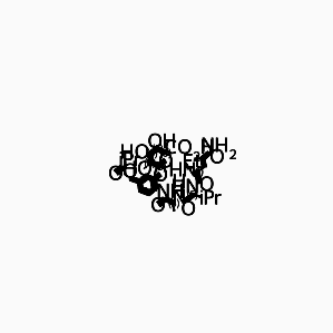 CCN[C@@H](CCC(N)=O)C(=O)N[C@H](C(=O)N[C@@H](C)C(=O)Nc1ccc(COC(=O)C(C)C)cc1O[C@@H]1O[C@H](C(=O)O)[C@@H](O)[C@H](O)[C@H]1O)C(C)C